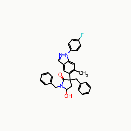 Cc1cc2c(cnn2-c2ccc(F)cc2)cc1C1(Cc2ccccc2)CC(O)N(Cc2ccccc2)C1=O